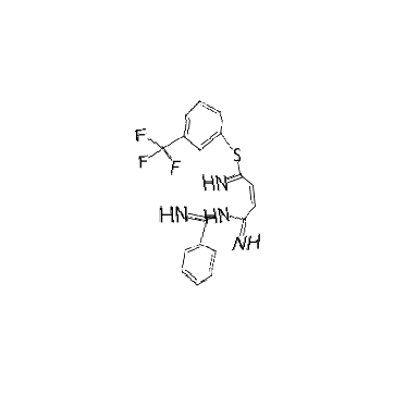 N=C(/C=C\C(=N)Sc1cccc(C(F)(F)F)c1)NC(=N)c1ccccc1